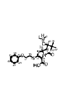 C[SiH](C)O[C@@](C)([C@@H]1C(=O)N2C(C(=O)O)=C(SCCOc3ccccc3)S[C@H]12)C(C)(C)C